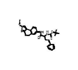 CC(C)(C)OC(=O)NC(CCc1ccccc1)C(=O)Nc1ccc2c(c1)CCc1nn(SF)cc1-2